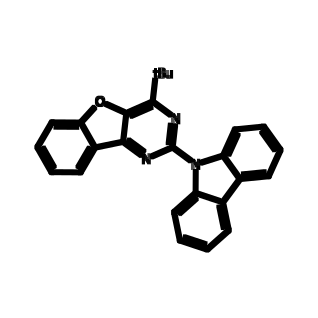 CC(C)(C)c1nc(-n2c3ccccc3c3ccccc32)nc2c1oc1ccccc12